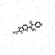 CC(C)N(C(=O)c1ccncc1)c1ccc2nc(S)sc2n1